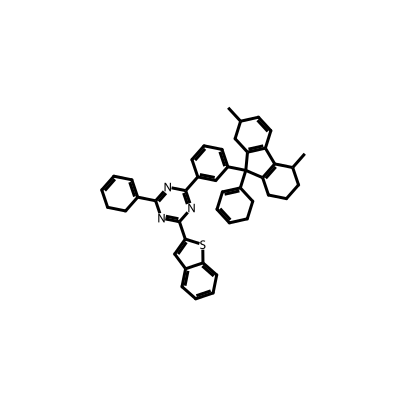 CC1C=CC2=C(C1)C(C1=CC=CCC1)(c1cccc(-c3nc(C4=CC=CCC4)nc(-c4cc5ccccc5s4)n3)c1)C1=C2C(C)CCC1